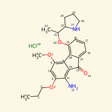 CCCOc1cc(OC)c2c(c1N)C(=O)c1cccc(OC(C)C3CCCN3)c1-2.Cl